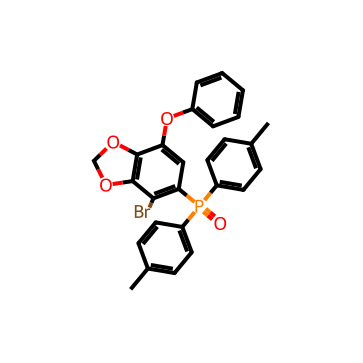 Cc1ccc(P(=O)(c2ccc(C)cc2)c2cc(Oc3ccccc3)c3c(c2Br)OCO3)cc1